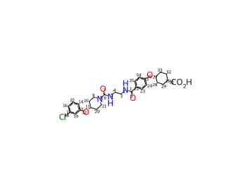 O=C(NCCNC(=O)N1CCC(Oc2cccc(Cl)c2)CC1)c1ccc(O[C@H]2CC[C@@H](C(=O)O)CC2)cc1